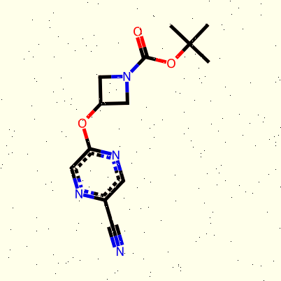 CC(C)(C)OC(=O)N1CC(Oc2cnc(C#N)cn2)C1